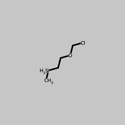 C[SiH2]CCOCCl